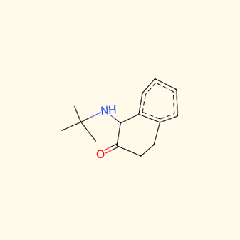 CC(C)(C)NC1C(=O)CCc2ccccc21